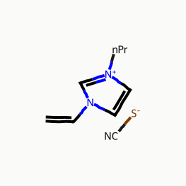 C=Cn1cc[n+](CCC)c1.N#C[S-]